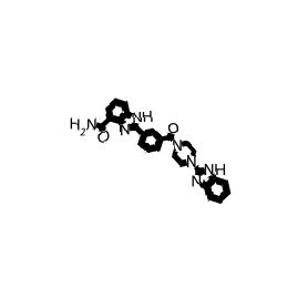 NC(=O)c1cccc2[nH]c(-c3cccc(C(=O)N4CCN(c5nc6ccccc6[nH]5)CC4)c3)nc12